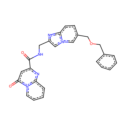 O=C(NCc1cn2cc(COCc3ccccc3)ccc2n1)c1cc(=O)n2ccccc2n1